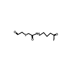 O=CCSCC(=O)NCCCCC(=O)F